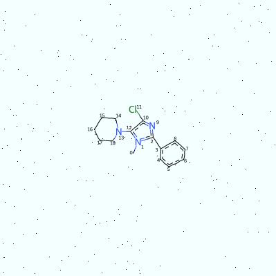 Cn1c(-c2ccccc2)nc(Cl)c1N1CCCCC1